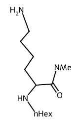 CCCCCCNC(CCCCN)C(=O)NC